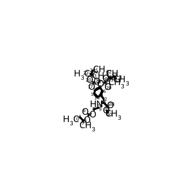 CCC(C)OC(=O)OCCN[C@@H](Cc1ccc(OC(=O)OC(C)(C)CC)c(OC(=O)OC(C)(C)CC)c1)C(=O)OC